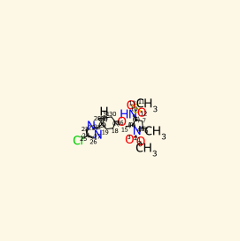 COC(=O)N1[C@H](C)C[C@H](NS(C)(=O)=O)[C@@H]1CO[C@@H]1CC[C@]2(c3ncc(Cl)cn3)C[C@@H]2C1